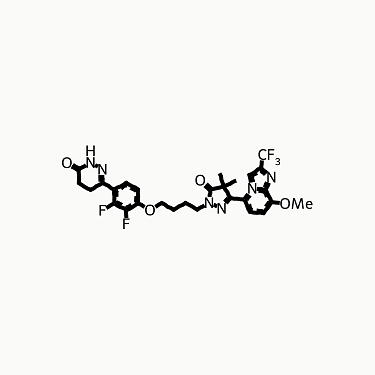 COc1ccc(C2=NN(CCCCOc3ccc(C4=NNC(=O)CC4)c(F)c3F)C(=O)C2(C)C)n2cc(C(F)(F)F)nc12